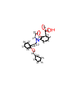 O=C(O)c1cccc2c1OCCN2Cc1ccccc1OCc1ccccc1